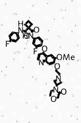 COc1cc2c(Oc3ccc(NC(=O)C4(C(=O)Nc5ccc(F)cc5)CCC4)cc3F)ccnc2cc1OCCN1CC(N2CCOCC2=O)C1